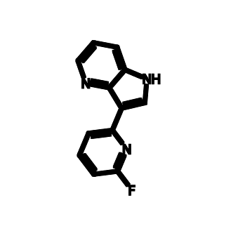 Fc1cccc(-c2c[nH]c3cccnc23)n1